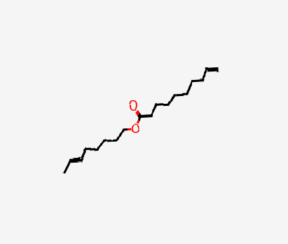 C=CCCCCCCCC(=O)OCCCCC/C=C/C